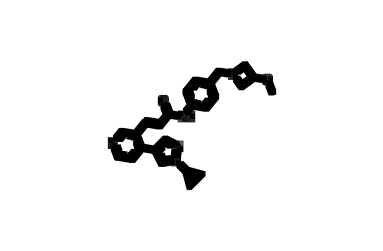 COC1CN(Cc2ccc(NC(=O)C=Cc3cnccc3-c3cnn(C4CC4)c3)cc2)C1